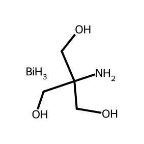 NC(CO)(CO)CO.[BiH3]